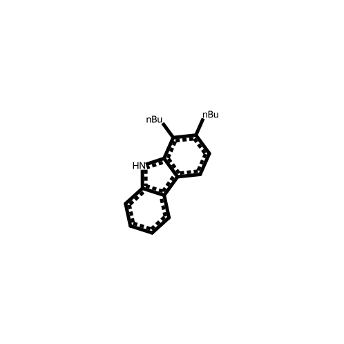 CCCCc1ccc2c([nH]c3ccccc32)c1CCCC